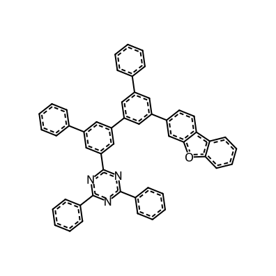 c1ccc(-c2cc(-c3cc(-c4ccccc4)cc(-c4nc(-c5ccccc5)nc(-c5ccccc5)n4)c3)cc(-c3ccc4c(c3)oc3ccccc34)c2)cc1